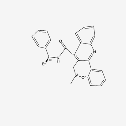 CC[C@H](NC(=O)c1c(C[S+](C)[O-])c(-c2ccccc2)nc2ccccc12)c1ccccc1